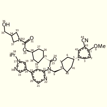 COc1ccc([C@H]2CC[C@H](CN(c3cc(-c4cnn(C(C)C)c4)ccn3)C(=O)[C@H]3CC[C@H](OC(=O)N4CC(CO)C4)CC3)CC2)cc1C#N